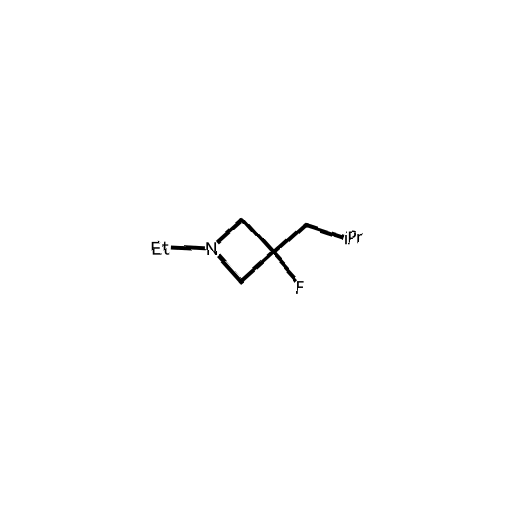 CCN1CC(F)(CC(C)C)C1